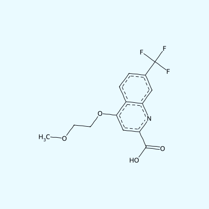 COCCOc1cc(C(=O)O)nc2cc(C(F)(F)F)ccc12